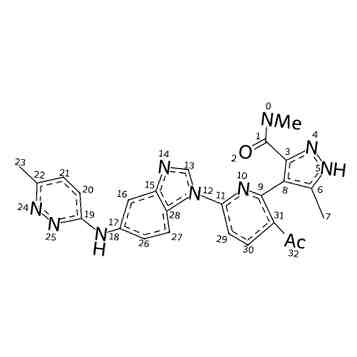 CNC(=O)c1n[nH]c(C)c1-c1nc(-n2cnc3cc(Nc4ccc(C)nn4)ccc32)ccc1C(C)=O